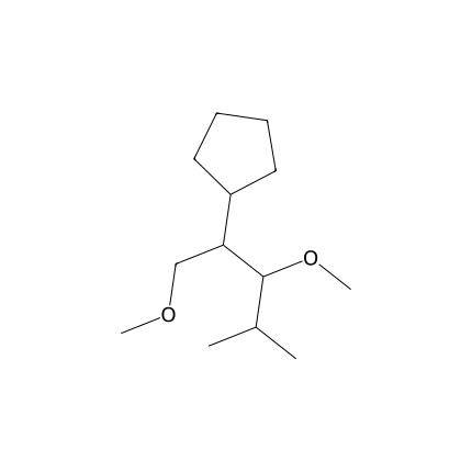 COCC(C1CCCC1)C(OC)C(C)C